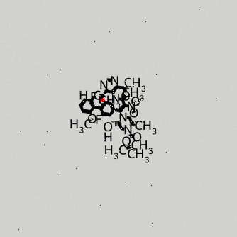 COc1cccc(F)c1-c1c(F)cc2c(N3C[C@@H](C)N(C(=O)OC(C)(C)C)C[C@@H]3CO)c([N+](=O)[O-])c(=O)n(-c3c(C(C)C)ncnc3C(C)C)c2c1F